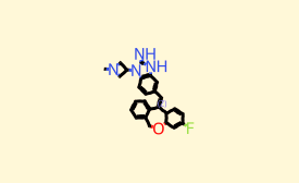 CN1CC(n2c(=N)[nH]c3cc(/C=C4\c5ccccc5COC5C=C(F)C=CC45)ccc32)C1